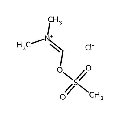 C[N+](C)=COS(C)(=O)=O.[Cl-]